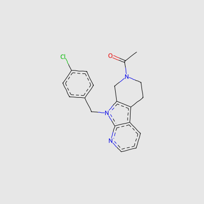 CC(=O)N1CCc2c(n(Cc3ccc(Cl)cc3)c3ncccc23)C1